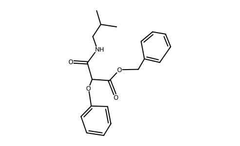 CC(C)CNC(=O)C(Oc1ccccc1)C(=O)OCc1ccccc1